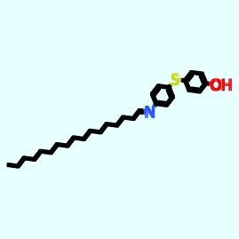 CCCCCCCCCCCCCCCCC=Nc1ccc(Sc2ccc(O)cc2)cc1